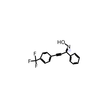 O/N=C(\C#Cc1ccc(C(F)(F)F)cc1)c1ccccc1